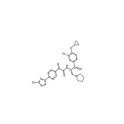 O=C(N[C@H](CN1CCCC1)[C@H](O)c1ccc(OC2CC2)c(Cl)c1)C(=O)c1ccc(-c2ccc(Cl)s2)nc1